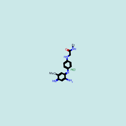 CCNC(=O)CNc1ccc(N=C2C=C(OC)C(=N)C=C2N)cc1.Cl